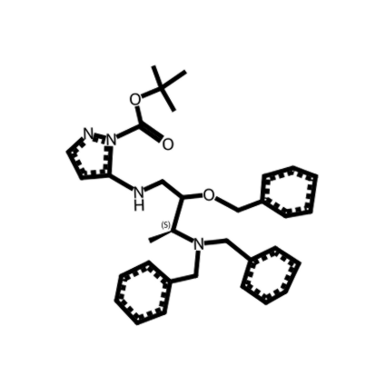 C[C@@H](C(CNc1ccnn1C(=O)OC(C)(C)C)OCc1ccccc1)N(Cc1ccccc1)Cc1ccccc1